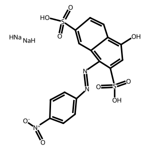 O=[N+]([O-])c1ccc(N=Nc2c(S(=O)(=O)O)cc(O)c3ccc(S(=O)(=O)O)cc23)cc1.[NaH].[NaH]